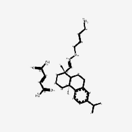 CC(C)c1ccc2c(c1)CCC1[C@@](C)(/C=N/OCCCCN)CCC[C@]21C.O=C(O)/C=C/C(=O)O